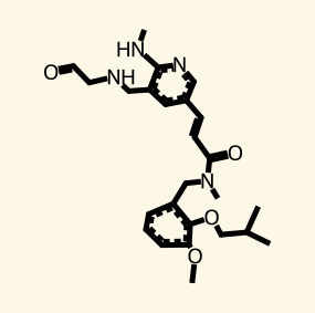 CNc1ncc(/C=C/C(=O)N(C)Cc2cccc(OC)c2OCC(C)C)cc1CNCC=O